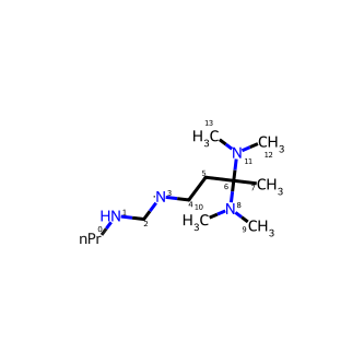 CCCNC[N]CCC(C)(N(C)C)N(C)C